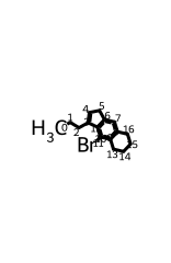 CCCC1=CCc2cc3c(c(Br)c21)CCCC3